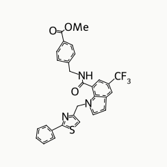 COC(=O)c1ccc(CNC(=O)c2cc(C(F)(F)F)cc3ccn(Cc4csc(-c5ccccc5)n4)c23)cc1